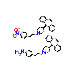 Nc1ccc(C=CCN2CCC(=C3c4ccccc4C=Cc4ccccc43)CC2)cc1.O=[N+]([O-])c1ccc(C=CCN2CCC(=C3c4ccccc4C=Cc4ccccc43)CC2)cc1